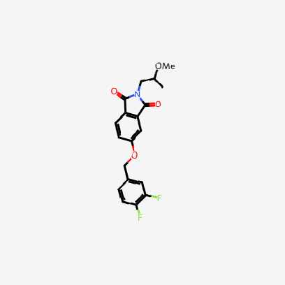 COC(C)CN1C(=O)c2ccc(OCc3ccc(F)c(F)c3)cc2C1=O